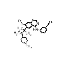 C#Cc1cccc(Nc2ncnc3cc(OCC)c(C(C)(C)N(C)C4CCN(C)CC4)cc23)c1